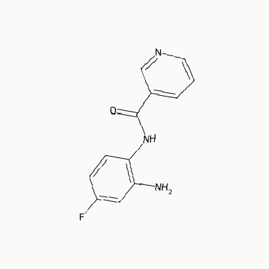 Nc1cc(F)ccc1NC(=O)c1cccnc1